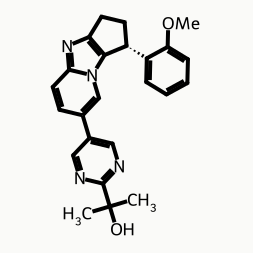 COc1ccccc1[C@H]1CCc2nc3ccc(-c4cnc(C(C)(C)O)nc4)cn3c21